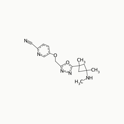 CNC1(C)CC(C)(c2nnc(COc3ccc(C#N)nc3)o2)C1